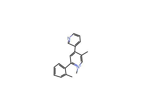 Cc1c[n+](C)c(-c2ccccc2C)cc1-c1cccnc1